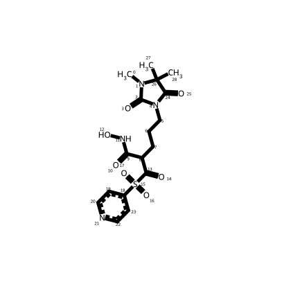 CN1C(=O)N(CCCC(C(=O)NO)C(=O)S(=O)(=O)c2ccncc2)C(=O)C1(C)C